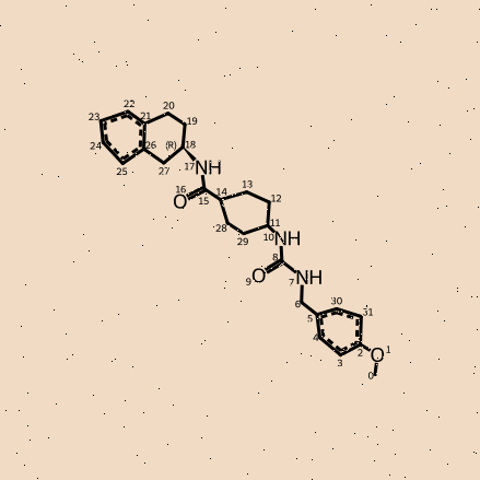 COc1ccc(CNC(=O)NC2CCC(C(=O)N[C@@H]3CCc4ccccc4C3)CC2)cc1